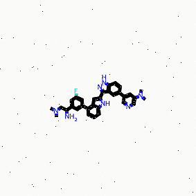 CN(C)CC(N)c1cc(F)cc(-c2cccc3[nH]c(-c4n[nH]c5ccc(-c6cncc(N(C)C)c6)cc45)cc23)c1